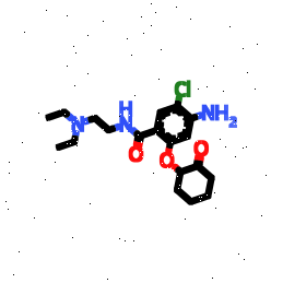 CCN(CC)CCNC(=O)c1cc(Cl)c(N)cc1OC1CCCCC1=O